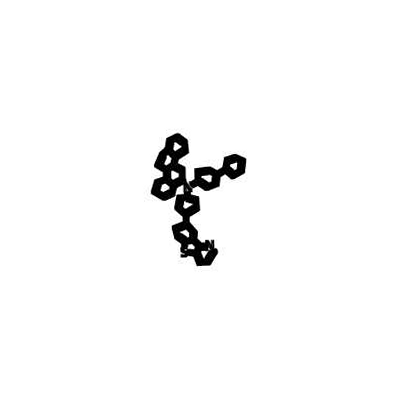 c1ccc(-c2ccc(N(c3ccc(-c4ccc5sc6cccnc6c5c4)cc3)c3cc4c5ccccc5ccc4c4ccccc34)cc2)cc1